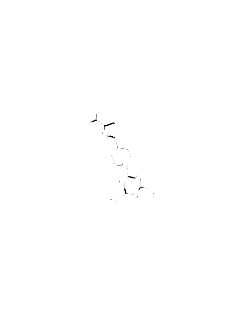 COc1nc(OC)nc(N2CCC(c3nc(C(=O)O)cs3)CC2)n1